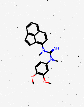 COc1ccc(N(C)C(=N)N(C)c2ccc3cccc4c3c2C=C4)cc1OC